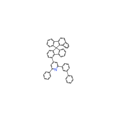 c1ccc(-c2cccc(-c3cc(-c4cccc5c4-c4ccccc4C54c5ccccc5-c5ccc6ccccc6c54)cc(-c4ccccc4)n3)c2)cc1